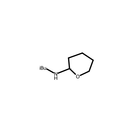 CCC(C)N[C]1CCCCO1